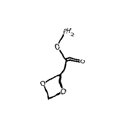 O=C(OP)C1OCO1